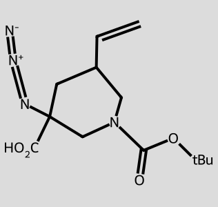 C=CC1CN(C(=O)OC(C)(C)C)CC(N=[N+]=[N-])(C(=O)O)C1